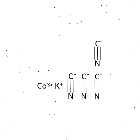 [C-]#N.[C-]#N.[C-]#N.[C-]#N.[Co+3].[K+]